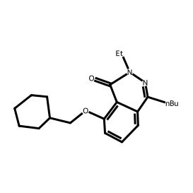 CCCCc1nn(CC)c(=O)c2c(OCC3CCCCC3)cccc12